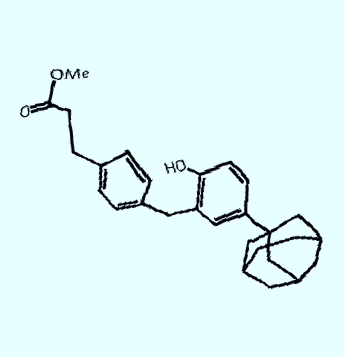 COC(=O)CCc1ccc(Cc2cc(C34CC5CC(CC(C5)C3)C4)ccc2O)cc1